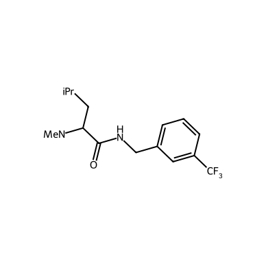 CNC(CC(C)C)C(=O)NCc1cccc(C(F)(F)F)c1